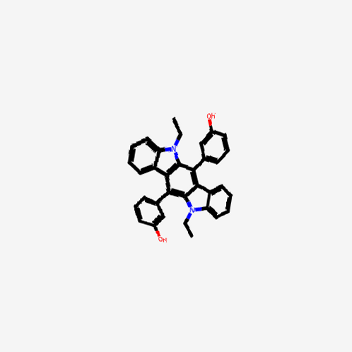 CCn1c2ccccc2c2c(-c3cccc(O)c3)c3c(c(-c4cccc(O)c4)c21)c1ccccc1n3CC